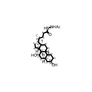 CC(=O)NNC(=O)CC[C@@H](C)[C@H]1CC[C@H]2[C@@H]3[C@@H](O)C[C@@H]4C[C@H](O)CC[C@]4(C)[C@H]3CC[C@]12C